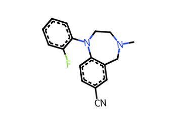 CN1CCN(c2ccccc2F)c2ccc(C#N)cc2C1